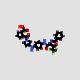 O=C(Nc1ccc(N[C@H]2CCN(C(=O)C3CCCC3C(=O)O)C2)cc1)c1nc(-c2ccccc2)oc1C(F)(F)F